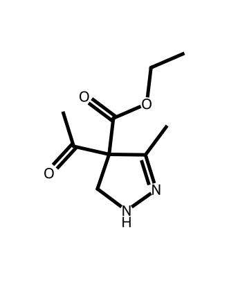 CCOC(=O)C1(C(C)=O)CNN=C1C